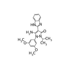 COc1cc(OC)cc(-n2c(N)c(-c3nc4ccccc4[nH]3)c(=O)n2C(C)C)c1